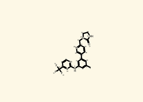 Cc1cc(Nc2nccc(C(F)(F)F)n2)cc(-c2ccc(CN3CCNC3=O)nc2)c1